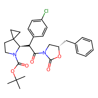 CC(C)(C)OC(=O)N1CCC2(CC2)[C@H]1C(C(=O)N1C[C@H](Cc2ccccc2)OC1=O)c1ccc(Cl)cc1